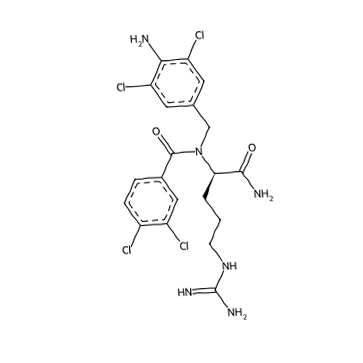 N=C(N)NCCC[C@H](C(N)=O)N(Cc1cc(Cl)c(N)c(Cl)c1)C(=O)c1ccc(Cl)c(Cl)c1